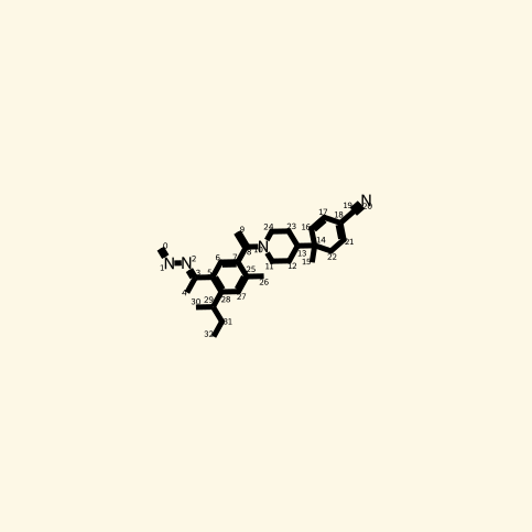 C=N/N=C(\C)c1cc(C(=C)N2CCC(C3(C)C=CC(C#N)=CC3)CC2)c(C)cc1C(C)CC